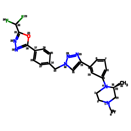 CC(C)N1CCN(c2cccc(-c3cn(Cc4ccc(-c5nnc(C(F)F)o5)cc4)nn3)c2)[C@@H](C)C1